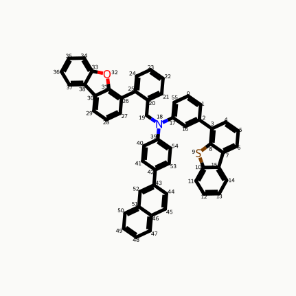 c1cc(-c2cccc3c2sc2ccccc23)cc(N(Cc2ccccc2-c2cccc3c2oc2ccccc23)c2ccc(-c3ccc4ccccc4c3)cc2)c1